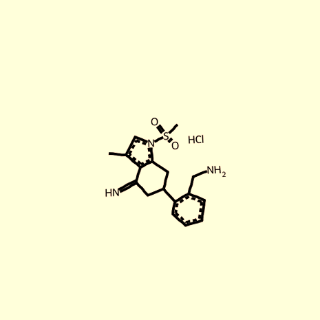 Cc1cn(S(C)(=O)=O)c2c1C(=N)CC(c1ccccc1CN)C2.Cl